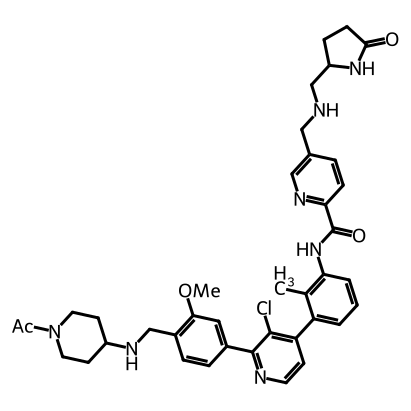 COc1cc(-c2nccc(-c3cccc(NC(=O)c4ccc(CNCC5CCC(=O)N5)cn4)c3C)c2Cl)ccc1CNC1CCN(C(C)=O)CC1